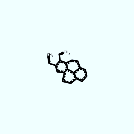 C=Cc1cc2ccc3cccc4ccc(c1C=C)c2c34